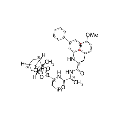 COc1ccc(C[C@H](Nc2cccc(-c3ccccc3)c2)C(=O)N[C@@H](C)C(=O)N[C@@H](CC(C)C)B2O[C@@H]3C[C@@H]4C[C@@H](C4(C)C)[C@]3(C)O2)cc1